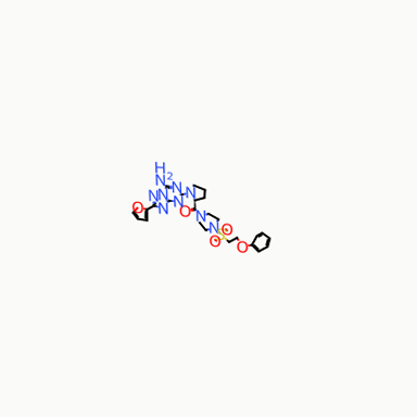 Nc1nc(N2CCC[C@H]2C(=O)N2CCN(S(=O)(=O)CCOc3ccccc3)CC2)nc2nc(-c3ccco3)nn12